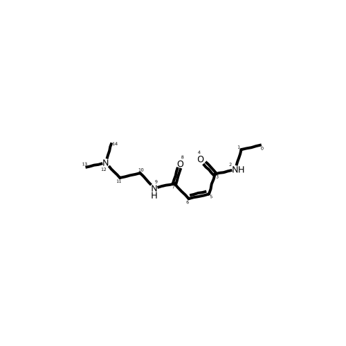 CCNC(=O)/C=C\C(=O)NCCN(C)C